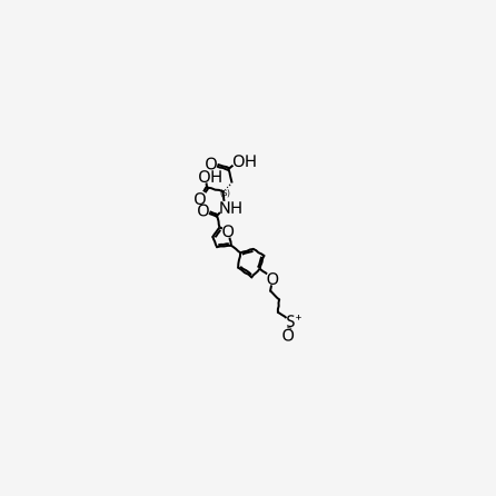 O=[S+]CCCOc1ccc(-c2ccc(C(=O)N[C@@H](CC(=O)O)C(=O)O)o2)cc1